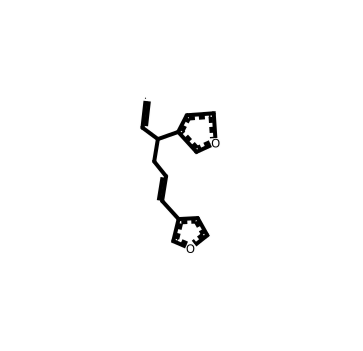 [CH]=CC(CC=Cc1ccoc1)c1ccoc1